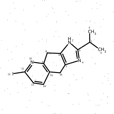 CC(C)c1nc2c([nH]1)Cc1nc(I)ccc1C2